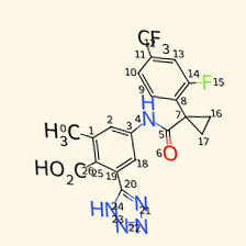 Cc1cc(NC(=O)C2(c3ccc(C(F)(F)F)cc3F)CC2)cc(-c2nnn[nH]2)c1C(=O)O